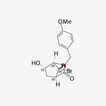 COc1ccc(CN2C(=O)[C@H]3C[C@H](O)[C@@H]2[C@@H]3Br)cc1